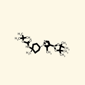 Cc1c(B2OC(C)(C)C(C)(C)O2)cnn1[C@H]1CC[C@@](C)(NC(=O)OC(C)(C)C)CC1